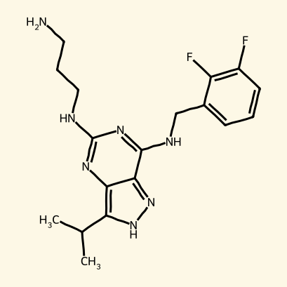 CC(C)c1[nH]nc2c(NCc3cccc(F)c3F)nc(NCCCN)nc12